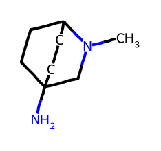 CN1CC2(N)CCC1CC2